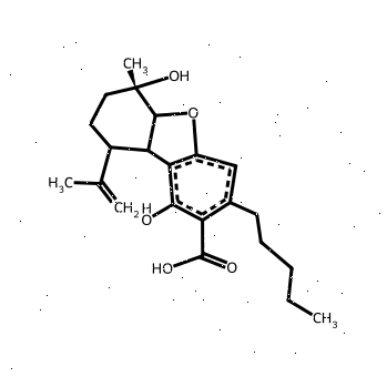 C=C(C)C1CC[C@](C)(O)C2Oc3cc(CCCCC)c(C(=O)O)c(O)c3C12